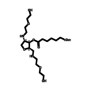 CCCCCCCCCCCCCCCC(=O)O[C@@H]1[C@@H](NCCOCCO)CO[C@@H]1CNCCOCCO